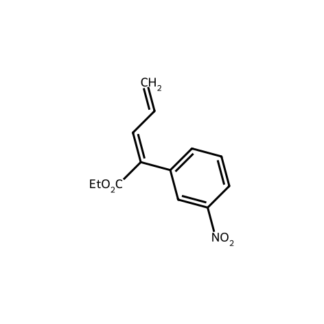 C=C/C=C(/C(=O)OCC)c1cccc([N+](=O)[O-])c1